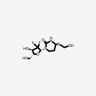 O=C1NC(SCO)CCN1[C@@H]1O[C@H](CO)[C@@H](O)C1(F)F